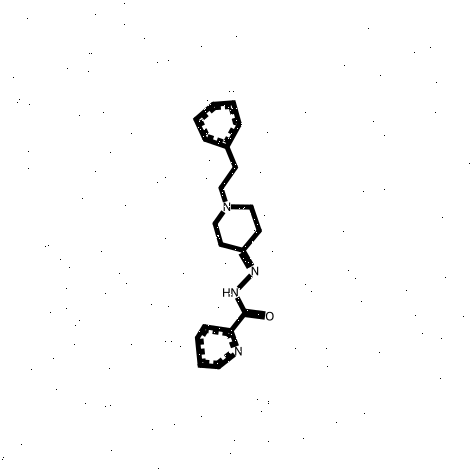 O=C(NN=C1CCN(CCc2ccccc2)CC1)c1ccccn1